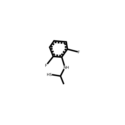 CC(S)Nc1c(F)cccc1F